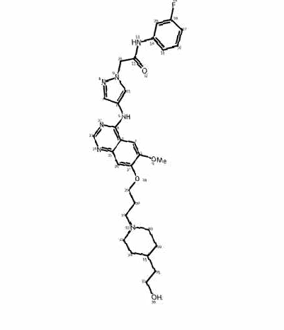 COc1cc2c(Nc3cnn(CC(=O)Nc4cccc(F)c4)c3)ncnc2cc1OCCCN1CCC(CCO)CC1